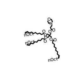 CCCCCCCC/C=C\CCCCCCCC(=O)OCC(COC(=O)CCCCCCC/C=C\CCCCCCCC)(COC(=O)CCCCCCC/C=C\CCCCCCCC)COC(=O)CCN1CCOCC1